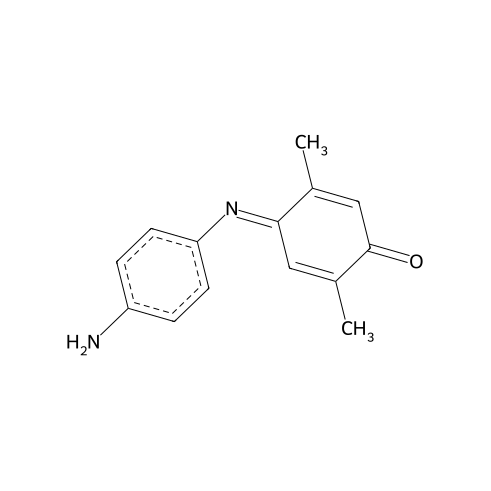 CC1=CC(=Nc2ccc(N)cc2)C(C)=CC1=O